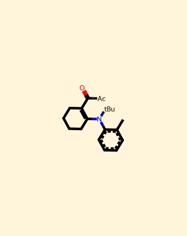 CC(=O)C(=O)C1=C(N(c2ccccc2C)C(C)(C)C)CCCC1